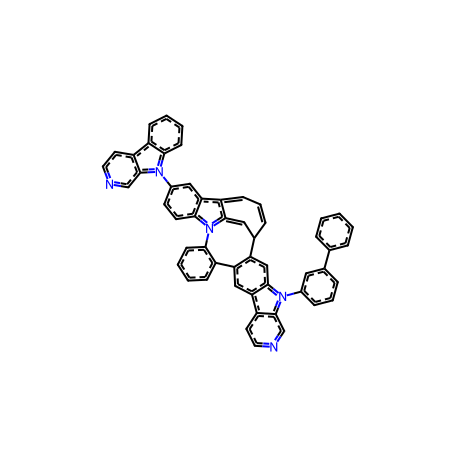 C1=CC2C=c3c(c4cc(-n5c6ccccc6c6ccncc65)ccc4n3-c3ccccc3-c3cc4c5ccncc5n(-c5cccc(-c6ccccc6)c5)c4cc32)=C1